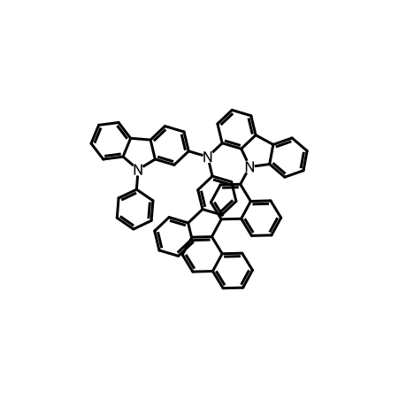 c1ccc(-c2cccc(N(c3ccc4c5ccccc5n(-c5ccccc5)c4c3)c3cccc4c5ccccc5n(-c5ccc(-c6cccc7ccccc67)c6ccccc56)c34)c2)cc1